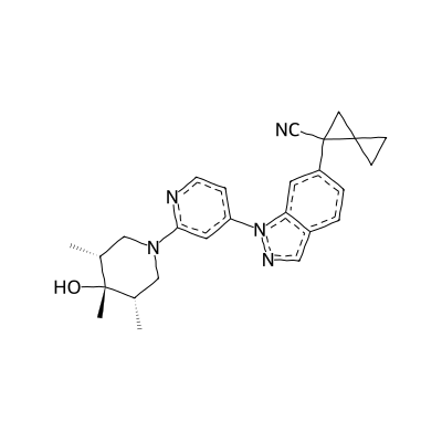 C[C@@H]1CN(c2cc(-n3ncc4ccc(C5(C#N)CC56CC6)cc43)ccn2)C[C@H](C)[C@]1(C)O